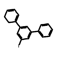 Ic1cc(C2=CC=CCC2)cc(-c2ccccc2)c1